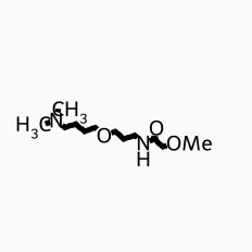 COCC(=O)NCCCOCCCCN(C)C